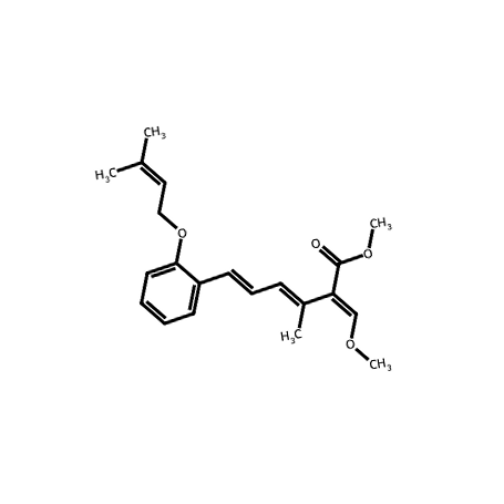 CO\C=C(C(=O)OC)/C(C)=C/C=C/c1ccccc1OCC=C(C)C